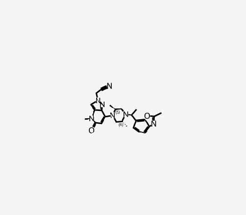 Cc1nc2cccc(C(C)N3C[C@H](C)N(c4cc(=O)n(C)c5cn(CC#N)nc45)C[C@H]3C)c2o1